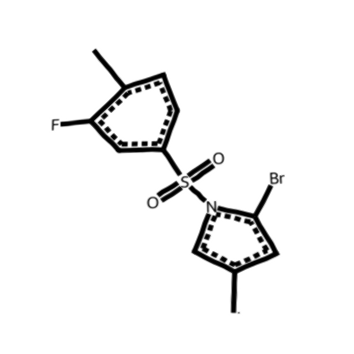 [CH2]c1cc(Br)n(S(=O)(=O)c2ccc(C)c(F)c2)c1